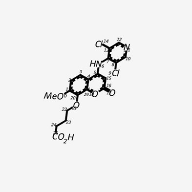 COc1ccc2c(Nc3c(Cl)cncc3Cl)cc(=O)oc2c1OCCCC(=O)O